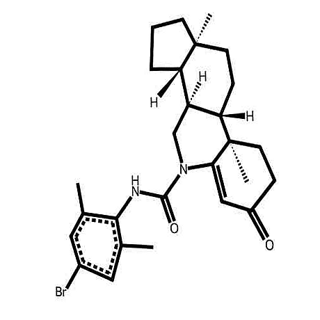 Cc1cc(Br)cc(C)c1NC(=O)N1C[C@H]2[C@@H]3CCC[C@@]3(C)CC[C@@H]2[C@@]2(C)CCC(=O)C=C12